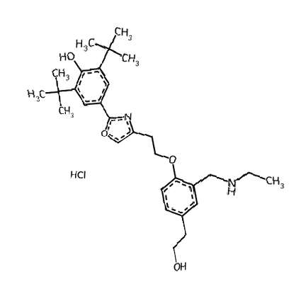 CCNCc1cc(CCO)ccc1OCCc1coc(-c2cc(C(C)(C)C)c(O)c(C(C)(C)C)c2)n1.Cl